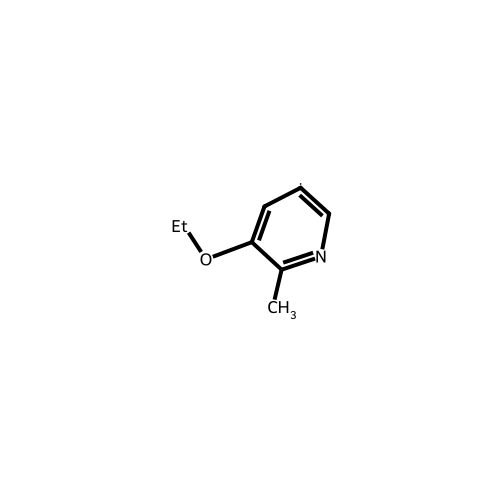 CCOc1c[c]cnc1C